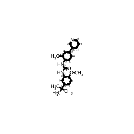 COc1ccc(C(C)(C)C)cc1NC(=O)Nc1ccc(-c2cccnc2)cc1C